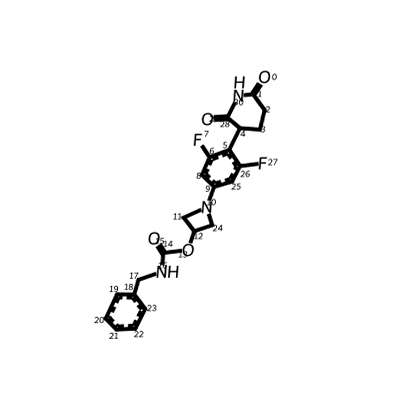 O=C1CCC(c2c(F)cc(N3CC(OC(=O)NCc4ccccc4)C3)cc2F)C(=O)N1